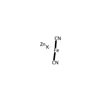 N#[C][Fe][C]#N.[K].[Zn]